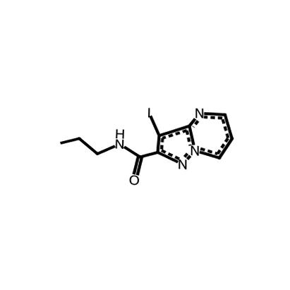 CCCNC(=O)c1nn2cccnc2c1I